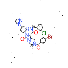 C[C@@H]1Cn2c(c(C(=O)N[C@H](C)c3ccccc3)n(-c3ccc(-n4cccn4)cc3)c2=O)CN1C(=O)c1ccc(Br)c(Cl)c1